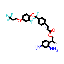 [CH2]C(COC(=O)/C=C/c1ccc(C(F)(F)Oc2ccc(OCCC(F)(F)F)cc2F)cc1)c1ccc(N)cc1N